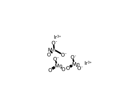 [Ir+3].[Ir+3].[O]=[Mn]([O-])[O-].[O]=[Mn]([O-])[O-].[O]=[Mn]([O-])[O-]